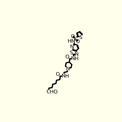 O=CCCCCCCC(=O)NCCN1CCC(C(=O)Nc2nc3ccc(NS(=O)(=O)c4cccs4)nc3s2)CC1